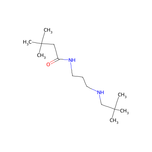 CC(C)(C)CNCCCNC(=O)CC(C)(C)C